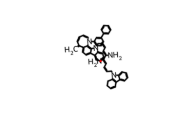 C=C1/C=C\C=C/N(c2cccc(-c3ccccc3)c2)c2c1ccc1c3ccccc3n(C\C=C/C=C(N)/C(N)=C/C=C\Cn3c4c(c5ccccc53)C=CCC4)c21